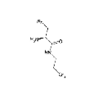 CC(C)C[C@H](N)C(=O)NCCC(F)(F)F